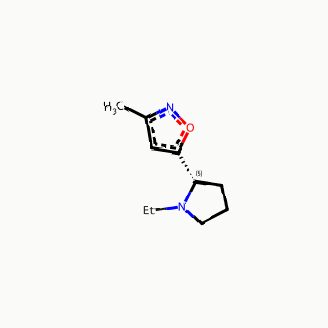 CCN1CCC[C@H]1c1cc(C)no1